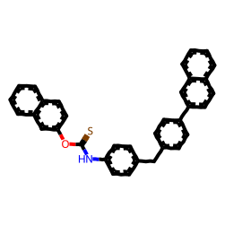 S=C(Nc1ccc(Cc2ccc(-c3ccc4ccccc4c3)cc2)cc1)Oc1ccc2ccccc2c1